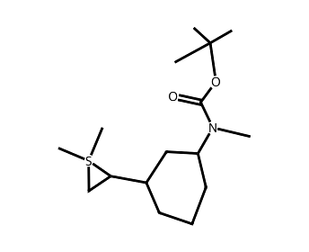 CN(C(=O)OC(C)(C)C)C1CCCC(C2CS2(C)C)C1